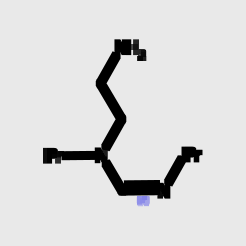 CC(C)/N=C\N(CCN)C(C)C